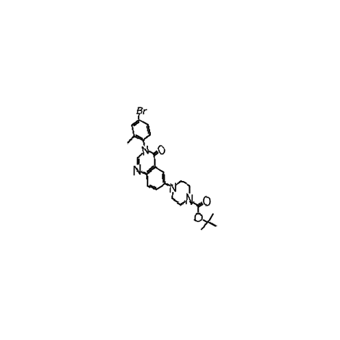 Cc1cc(Br)ccc1-n1cnc2ccc(N3CCN(C(=O)OC(C)(C)C)CC3)cc2c1=O